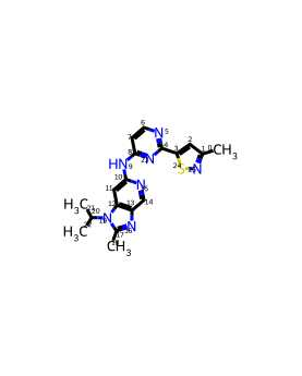 Cc1cc(-c2nccc(Nc3cc4c(cn3)nc(C)n4C(C)C)n2)sn1